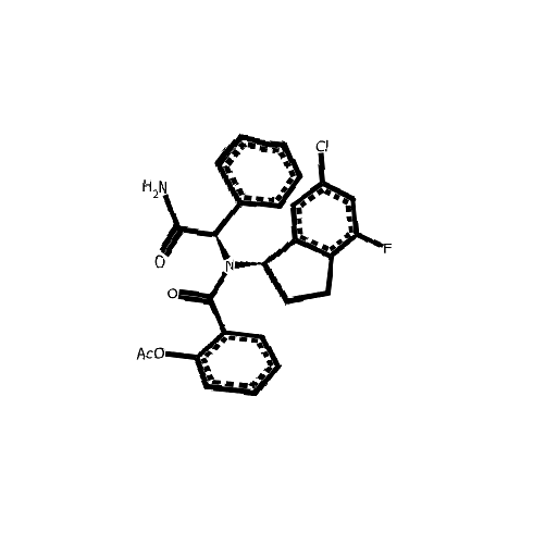 CC(=O)Oc1ccccc1C(=O)N([C@@H]1CCc2c(F)cc(Cl)cc21)[C@@H](C(N)=O)c1ccccc1